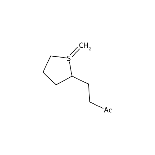 C=S1CCCC1CCC(C)=O